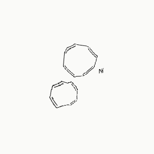 C1=C\C=C/C=C\C=C/1.C1=C\C=C/C=C\C=C/1.[Ni]